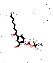 CCCCCCCC(=O)c1ccc(OC(=O)OC(C)(C)C)c(C=O)c1